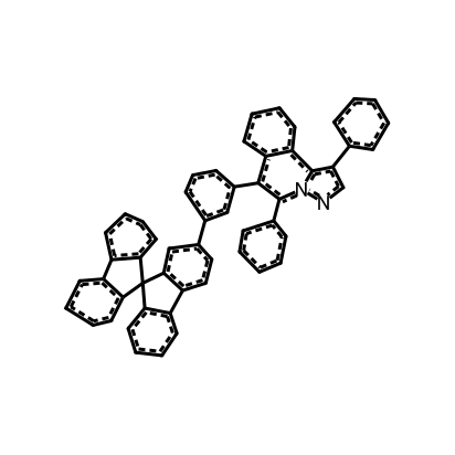 c1ccc(-c2cnn3c(-c4ccccc4)c(-c4cccc(-c5ccc6c(c5)C5(c7ccccc7-c7ccccc75)c5ccccc5-6)c4)c4ccccc4c23)cc1